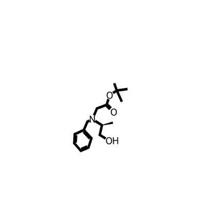 C[C@@H](CO)N(CC(=O)OC(C)(C)C)Cc1ccccc1